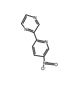 O=[N+]([O-])c1ccc(-c2cnccn2)nc1